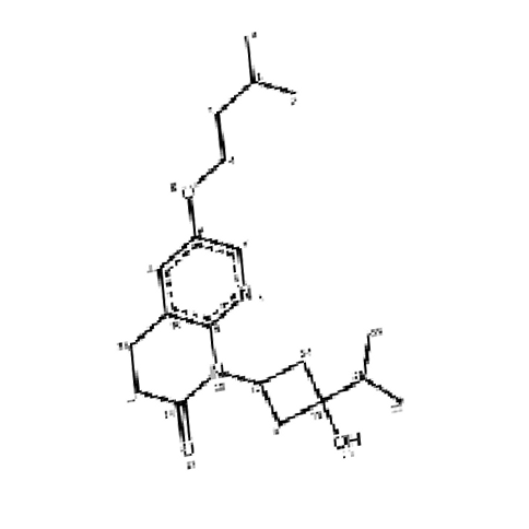 CC(C)CCOc1cnc2c(c1)CCC(=O)N2C1CC(O)(C(C)C)C1